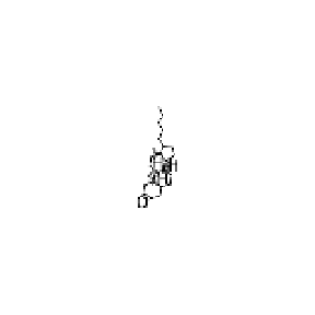 CCCCCC1CC[C@H]2[C@@H]3CCC4CC5OC5C[C@]4(C)[C@H]3CC[C@]12C